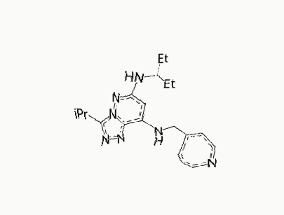 CCC(CC)Nc1cc(NCc2ccncc2)c2nnc(C(C)C)n2n1